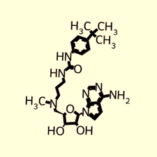 CN(CCCNC(=O)Nc1ccc(C(C)(C)C)cc1)C[C@H]1O[C@@H](n2ccc3c(N)ncnc32)C(O)[C@@H]1O